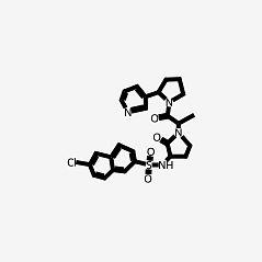 CC(C(=O)N1CCCC1c1cccnc1)N1CCC(NS(=O)(=O)c2ccc3cc(Cl)ccc3c2)C1=O